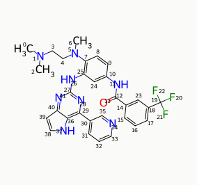 CN(C)CCN(C)c1ccc(NC(=O)c2cccc(C(F)(F)F)c2)cc1Nc1nc(-c2cccnc2)c2[nH]ccc2n1